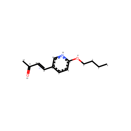 CCCCOc1ccc(/C=C/C(C)=O)cn1